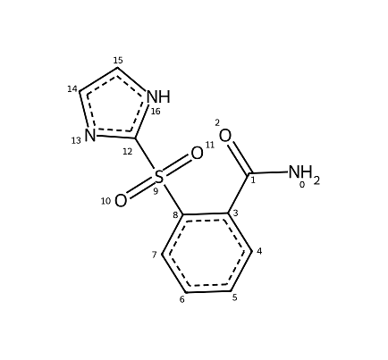 NC(=O)c1ccccc1S(=O)(=O)c1ncc[nH]1